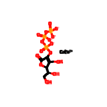 O=C1O[C@H]([C@@H](O)CO)C(O)=C1OP(=O)([O-])OP(=O)([O-])OP(=O)([O-])[O-].[Ca+2].[Ca+2]